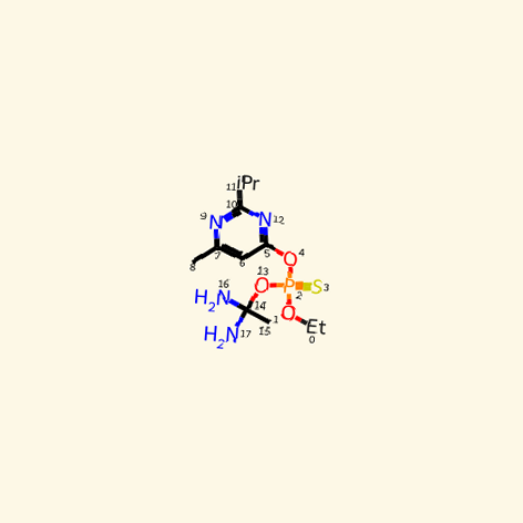 CCOP(=S)(Oc1cc(C)nc(C(C)C)n1)OC(C)(N)N